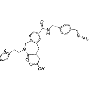 NN=Cc1ccc(CNC(=O)c2ccc3c(c2)CC(CC(=O)O)C(=O)N(CCc2cccs2)C3)cc1